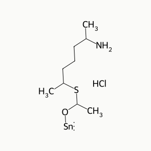 CC(N)CCCC(C)SC(C)[O][Sn].Cl